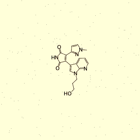 Cn1ccc(C2=C(c3cn(CCCO)c4ncccc34)C(=O)NC2=O)n1